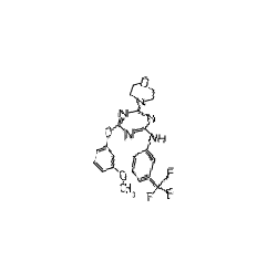 COc1cccc(Oc2nc(Nc3cccc(C(F)(F)F)c3)nc(N3CCOCC3)n2)c1